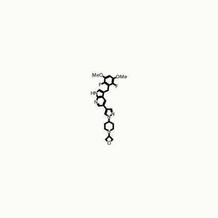 COc1cc(OC)c(F)c(Cc2c[nH]c3ncc(-c4cnn(C5CCN(C6COC6)CC5)c4)cc23)c1F